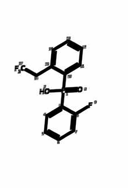 O=P(O)(c1ccccc1F)c1ccccc1CC(F)(F)F